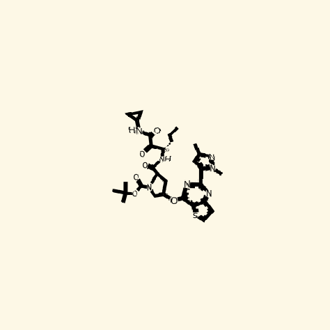 CCC[C@H](NC(=O)C1CC(Oc2nc(-c3cc(C)nn3C)nc3ccsc23)CN1C(=O)OC(C)(C)C)C(=O)C(=O)NC1CC1